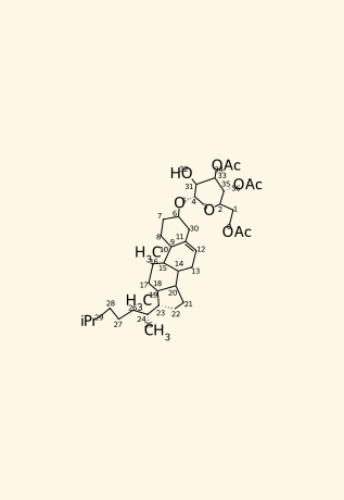 CC(=O)OCC1O[C@H](OC2CC[C@@]3(C)C(=CCC4C3CC[C@@]3(C)C4CC[C@@H]3[C@H](C)CCCC(C)C)C2)C(O)C(OC(C)=O)[C@@H]1OC(C)=O